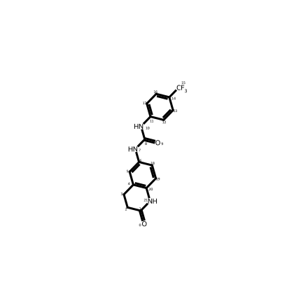 O=C1CCc2cc(NC(=O)Nc3ccc(C(F)(F)F)cc3)ccc2N1